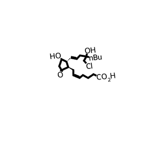 CCCCC(O)(CCl)C/C=C/[C@H]1[C@H](O)CC(=O)[C@@H]1C/C=C\CCCC(=O)O